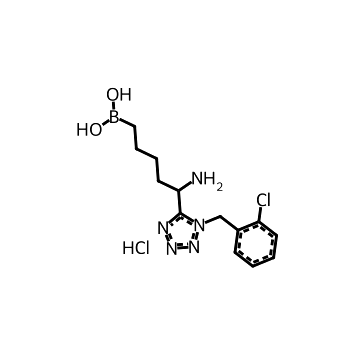 Cl.NC(CCCCB(O)O)c1nnnn1Cc1ccccc1Cl